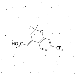 CC1(C)C/C(=C\C(=O)O)c2ccc(C(F)(F)F)cc2O1